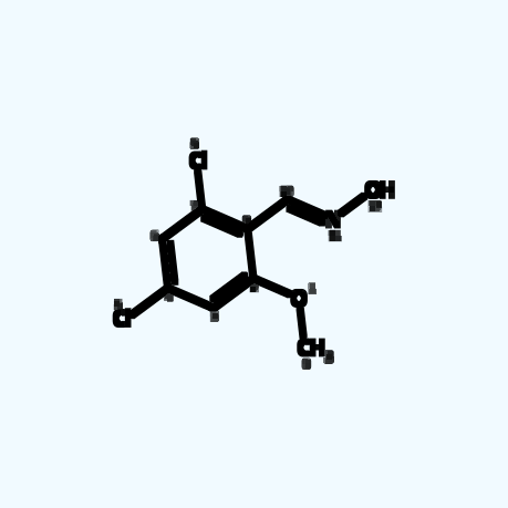 COc1cc(Cl)cc(Cl)c1/C=N/O